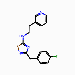 Fc1ccc(Cc2nsc(NCCc3cccnc3)n2)cc1